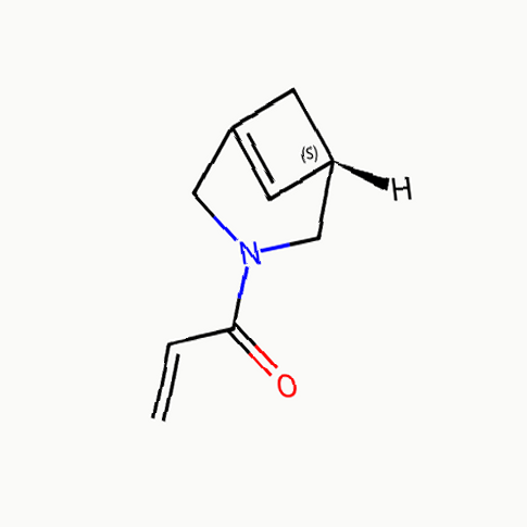 C=CC(=O)N1CC2=C[C@H](C2)C1